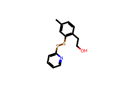 Cc1ccc(CCO)c(SSc2ccccn2)c1